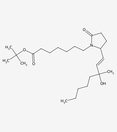 CCCCCC(C)(O)/C=C/C1CCC(=O)N1CCCCCCC(=O)OC(C)(C)C